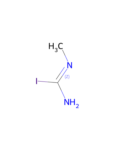 C/N=C(/N)I